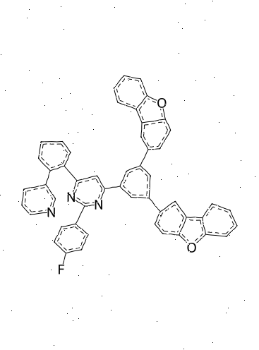 Fc1ccc(-c2nc(-c3cc(-c4ccc5oc6ccccc6c5c4)cc(-c4ccc5oc6ccccc6c5c4)c3)cc(-c3ccccc3-c3cccnc3)n2)cc1